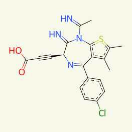 CC(=N)N1C(=N)[C@H](C#CC(=O)O)N=C(c2ccc(Cl)cc2)c2c1sc(C)c2C